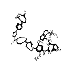 COc1cc(N2CCC(N3CCN(C(=O)[C@@H]4CCN(c5ccc(C6CCC(=O)NC6=O)cc5)C4)CC3)CC2)c(C)cc1Nc1nc(Nc2cccc3c2N(S(C)(=O)=O)CC3)c2cc[nH]c2n1